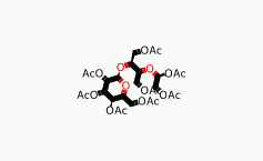 CC(=O)OCC1O[C@@H](O[C@@H](COC(C)=O)C(COC(C)=O)O[C@H](COC(C)=O)OC(C)=O)C(OC(C)=O)C(OC(C)=O)[C@H]1OC(C)=O